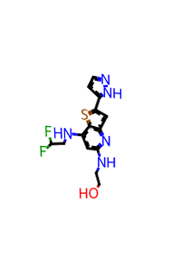 OCCNc1cc(NCC(F)F)c2sc(-c3ccn[nH]3)cc2n1